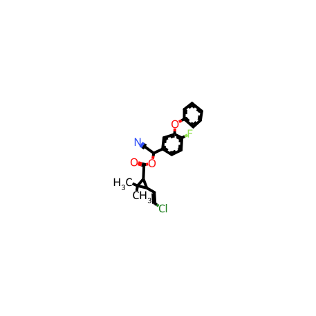 CC1(C)C(/C=C/Cl)C1C(=O)OC(C#N)c1ccc(F)c(Oc2ccccc2)c1